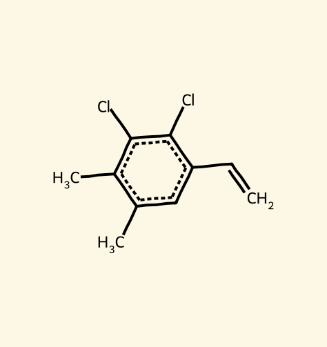 C=Cc1cc(C)c(C)c(Cl)c1Cl